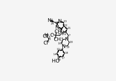 CC(C)(C)Cn1c(CN2CCN(c3ccc(O)cc3)CC2)cc2cnc(C#N)nc21.ClCCl